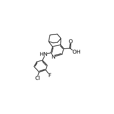 O=C(O)c1cnc(Nc2ccc(Cl)c(F)c2)c2c1C1CCC2CC1